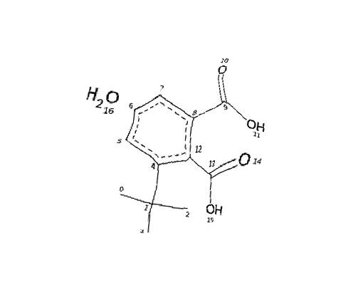 CC(C)(C)c1cccc(C(=O)O)c1C(=O)O.O